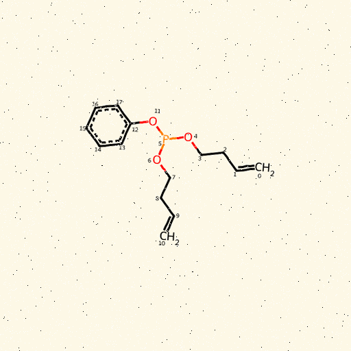 C=CCCOP(OCCC=C)Oc1ccccc1